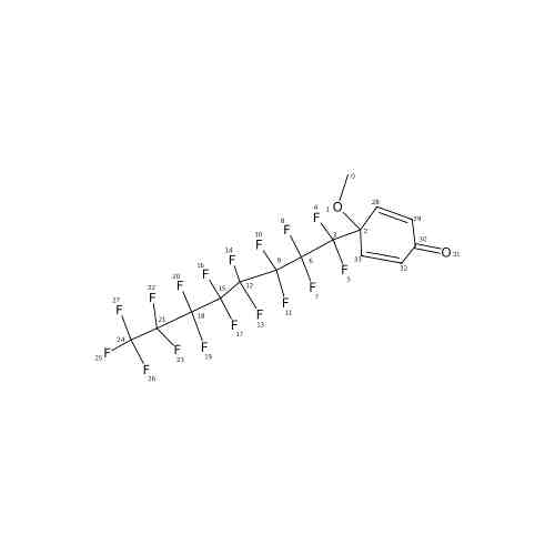 COC1(C(F)(F)C(F)(F)C(F)(F)C(F)(F)C(F)(F)C(F)(F)C(F)(F)C(F)(F)F)C=CC(=O)C=C1